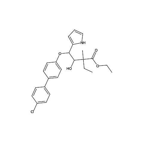 CCOC(=O)C(C)(CC)C(O)C(Oc1ccc(-c2ccc(Cl)cc2)cc1)c1ccc[nH]1